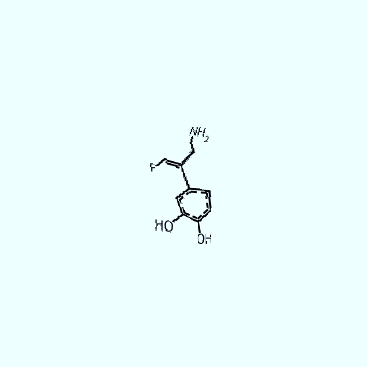 NC/C(=C/F)c1ccc(O)c(O)c1